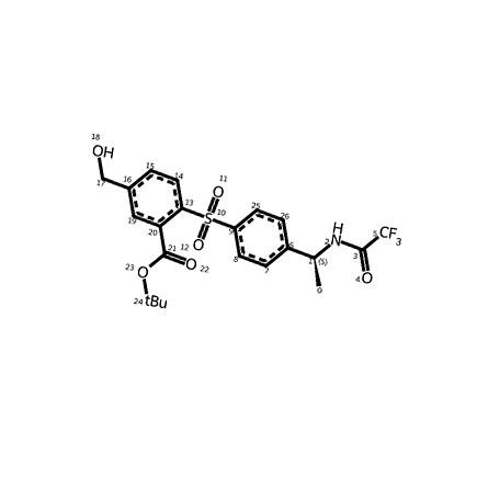 C[C@H](NC(=O)C(F)(F)F)c1ccc(S(=O)(=O)c2ccc(CO)cc2C(=O)OC(C)(C)C)cc1